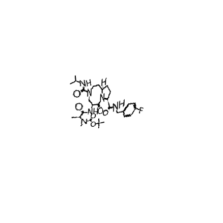 CC(C)NC(=O)N1CC[C@H]2CC[C@@H](C(=O)NCc3ccc(F)cc3)N2C(=O)[C@@H](NC(=O)[C@H](C)N(C)C(=O)OC(C)(C)C)C1